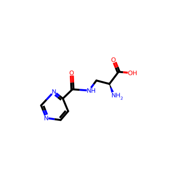 N[C@@H](CNC(=O)c1ccncn1)C(=O)O